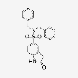 O=C1Cc2cc(S(=O)(=O)N(Cc3ccccc3)Cc3ccccc3)ccc2N1